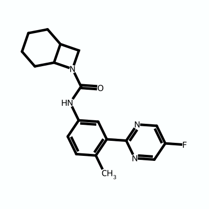 Cc1ccc(NC(=O)N2CC3CCCCC32)cc1-c1ncc(F)cn1